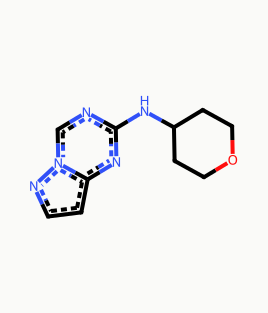 c1cc2nc(NC3CCOCC3)ncn2n1